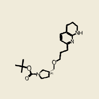 CC(C)(C)OC(=O)N1CC[C@@H](COCCCc2ccc3c(n2)NCCC3)C1